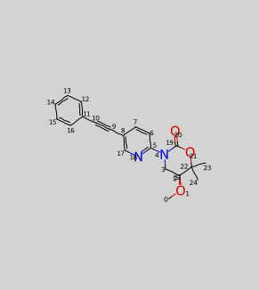 CO[C@H]1CN(c2ccc(C#Cc3ccccc3)cn2)C(=O)OC1(C)C